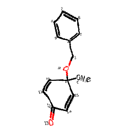 COC1(OCc2ccccc2)C=CC(=O)C=C1